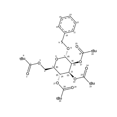 CC(C)(C)C(=O)OC[C@H]1O[C@H](OSc2ccccc2)[C@@H](OC(=O)C(C)(C)C)[C@@H](OC(=O)C(C)(C)C)[C@@H]1OC(=O)C(C)(C)C